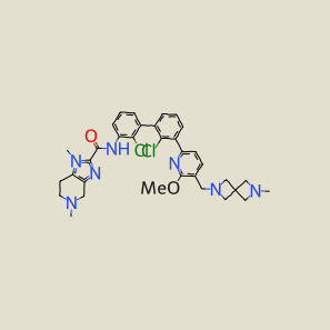 COc1nc(-c2cccc(-c3cccc(NC(=O)c4nc5c(n4C)CCN(C)C5)c3Cl)c2Cl)ccc1CN1CC2(CN(C)C2)C1